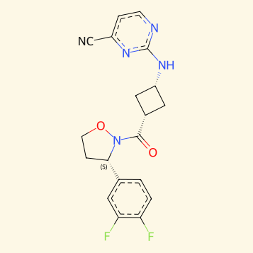 N#Cc1ccnc(N[C@H]2C[C@@H](C(=O)N3OCC[C@H]3c3ccc(F)c(F)c3)C2)n1